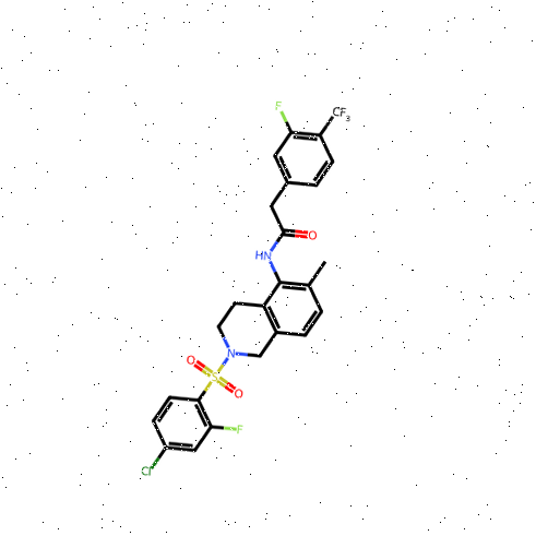 Cc1ccc2c(c1NC(=O)Cc1ccc(C(F)(F)F)c(F)c1)CCN(S(=O)(=O)c1ccc(Cl)cc1F)C2